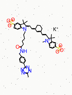 Cc1nnc(-c2ccc(CNC(=O)CCCCCN3C(=CC=C4C=C(C=CC5=[N+](C)c6ccc(S(=O)(=O)[O-])cc6C5(C)C)CCC4)C(C)(C)c4cc(S(=O)(=O)[O-])ccc43)cc2)nn1.[K+]